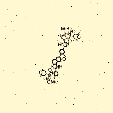 COC(=O)N[C@H](C(=O)N1[C@@H](c2ncc(-c3ccc4c(c3)COc3cc5c(ccc6nc([C@@H]7C[C@H](C)[C@H](C)N7C(=O)[C@@H](NC(=O)OC)C7C[C@@H](C)O[C@H](C)C7)[nH]c65)cc3-4)[nH]2)C[C@@H](C)[C@H]1C)C1C[C@@H](C)O[C@H](C)C1